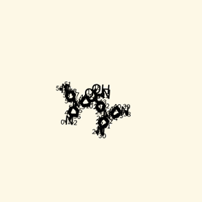 CN(C)c1ccc(N(c2ccc(C(=C(C#N)C(=O)O)c3ccc(N(c4ccc(N(C)C)cc4)c4ccc(N(C)C)cc4)cc3)cc2)c2ccc(N(C)C)cc2)cc1